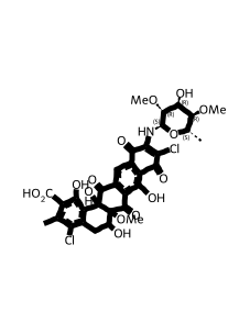 CO[C@@H]1[C@@H](O)[C@@H](OC)[C@@H](NC2=C(Cl)C(=O)c3c(cc4c(c3O)C(=O)C3(OC)C(O)Cc5c(Cl)c(C)c(C(=O)O)c(O)c5C3(O)C4=O)C2=O)O[C@H]1C